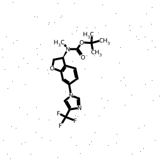 CN(C(=O)OC(C)(C)C)[C@@H]1COc2cc(-n3cnc(C(F)(F)F)c3)ccc21